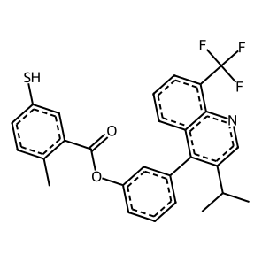 Cc1ccc(S)cc1C(=O)Oc1cccc(-c2c(C(C)C)cnc3c(C(F)(F)F)cccc23)c1